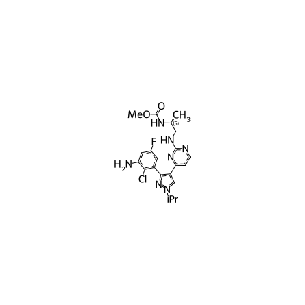 COC(=O)N[C@@H](C)CNc1nccc(-c2cn(C(C)C)nc2-c2cc(F)cc(N)c2Cl)n1